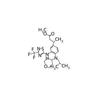 COC(=O)CC(C)c1ccc(N(CC(C)C)C2CCOCC2)c(Nc2nc(C(F)(F)F)ns2)c1